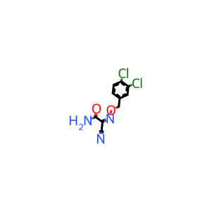 N#CC(=NOCc1ccc(Cl)c(Cl)c1)C(N)=O